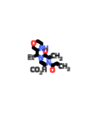 C=CC(=O)NC(=CN(C(=O)C=C)C(CC)C1COCCN1)C(=O)O